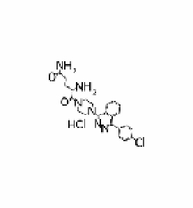 Cl.NC(=O)CCC(N)C(=O)N1CCN(c2nnc(-c3ccc(Cl)cc3)c3ccccc23)CC1